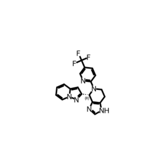 FC(F)(F)c1ccc(N2CCc3[nH]cnc3[C@@H]2c2cc3ccccn3n2)nc1